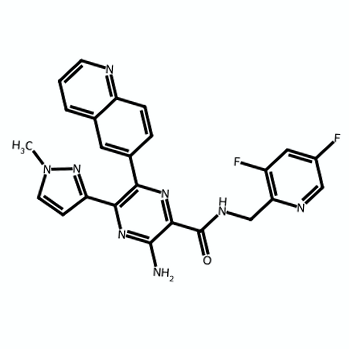 Cn1ccc(-c2nc(N)c(C(=O)NCc3ncc(F)cc3F)nc2-c2ccc3ncccc3c2)n1